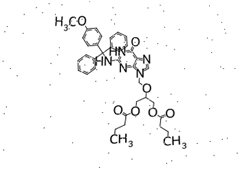 CCCC(=O)OCC(COC(=O)CCC)OCn1cnc2c(=O)[nH]c(NC(c3ccccc3)(c3ccccc3)c3ccc(OC)cc3)nc21